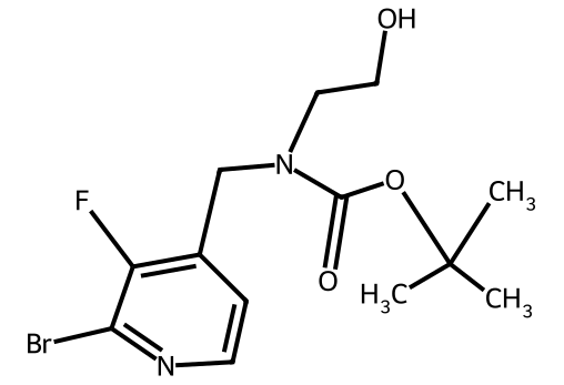 CC(C)(C)OC(=O)N(CCO)Cc1ccnc(Br)c1F